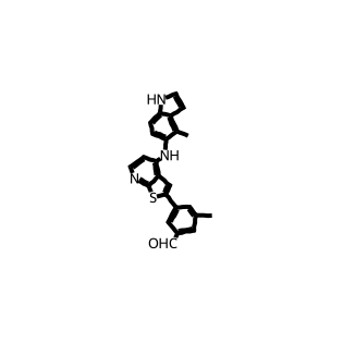 Cc1cc(C=O)cc(-c2cc3c(Nc4ccc5[nH]ccc5c4C)ccnc3s2)c1